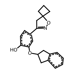 Oc1ccc(C2=NOC3(CCC3)C2)cc1OC1Cc2ccccc2C1